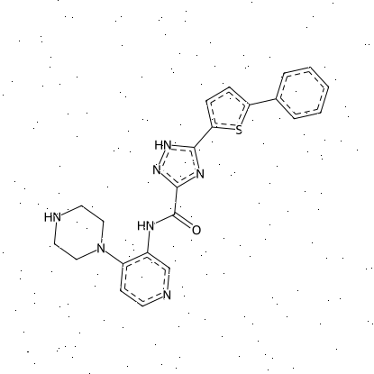 O=C(Nc1cnccc1N1CCNCC1)c1n[nH]c(-c2ccc(-c3ccccc3)s2)n1